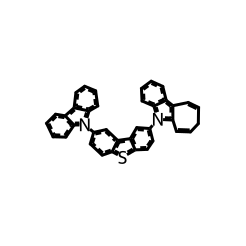 C1=Cc2c(n(-c3ccc4sc5ccc(-n6c7ccccc7c7ccccc76)cc5c4c3)c3ccccc23)C=CC1